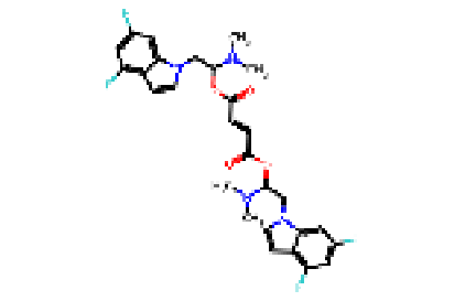 CN(C)C(Cn1ccc2c(F)cc(F)cc21)OC(=O)/C=C/C(=O)OC(Cn1ccc2c(F)cc(F)cc21)N(C)C